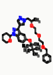 C[C@H](Cn1cc(-c2nn(C3CCCCO3)c3ccc(O[Si](C)(C)C(C)(C)C)cc23)cn1)OCCOCCOCc1ccccc1